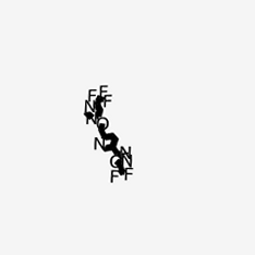 FC(F)c1nnc(-c2ccc(COc3cc(C(F)(F)F)ncn3)nc2)o1